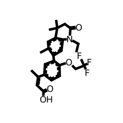 CCN1C(=O)CC(C)(C)c2cc(C)c(-c3cc(/C(C)=C\C(=O)O)ccc3OCC(F)(F)F)cc21